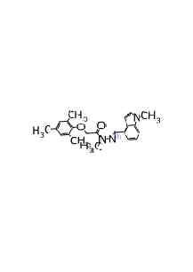 Cc1cc(C)c(OCC(=O)N(C)/N=C/c2cccc3c2ccn3C)c(C)c1